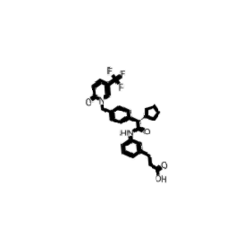 O=C(O)CCc1cccc(NC(=O)[C@H](c2ccc(Cn3cc(C(F)(F)F)ccc3=O)cc2)C2CCCC2)c1